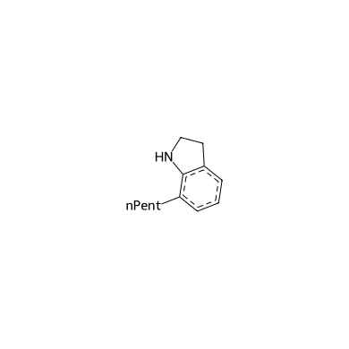 [CH2]CCCCc1cccc2c1NCC2